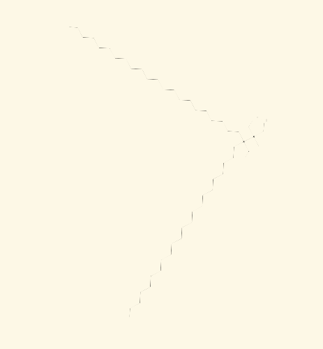 CC(CO)(CO)C(CO)(CCCCCCCCCCCCCCCCCCCCCC(=O)O)CCCCCCCCCCCCCCCCCCCCCC(=O)O